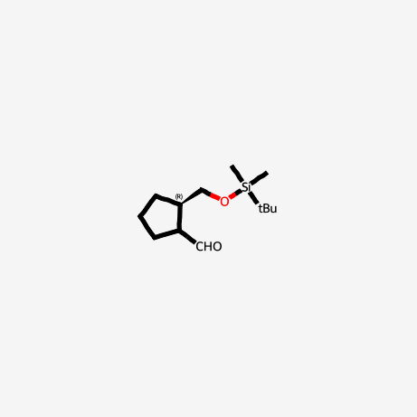 CC(C)(C)[Si](C)(C)OC[C@@H]1CCCC1C=O